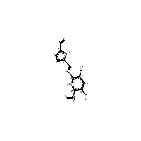 C=Cc1ccc(C=Nc2nc(N=C)c(F)cc2F)s1